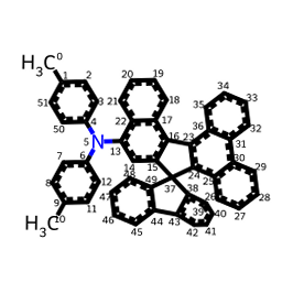 Cc1ccc(N(c2ccc(C)cc2)c2cc3c(c4ccccc24)-c2c(c4ccccc4c4ccccc24)C32c3ccccc3-c3ccccc32)cc1